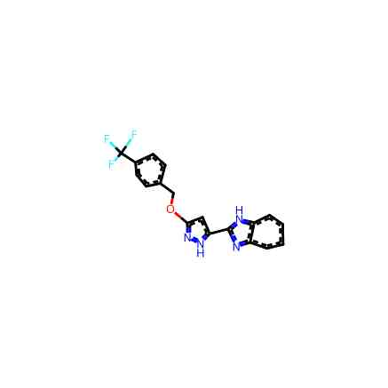 FC(F)(F)c1ccc(COc2cc(-c3nc4ccccc4[nH]3)[nH]n2)cc1